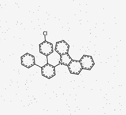 Clc1ccc(-c2c(-c3ccccc3)cccc2-n2c3ccccc3c3c4ccccc4ccc32)cc1